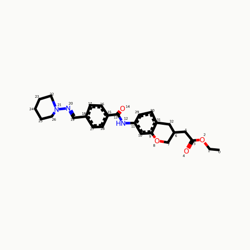 CCOC(=O)CC1COc2cc(NC(=O)c3ccc(C=NN4CCCCC4)cc3)ccc2C1